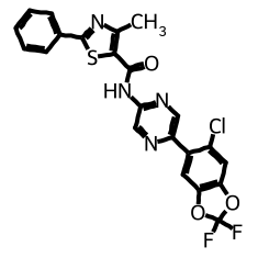 Cc1nc(-c2ccccc2)sc1C(=O)Nc1cnc(-c2cc3c(cc2Cl)OC(F)(F)O3)cn1